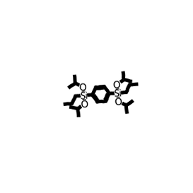 CCC[Si](OC(C)C)(OC(C)C)c1ccc([Si](CCC)(OC(C)C)OC(C)C)cc1